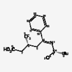 CC(C)(C)[S@+]([O-])N=C(C[C@H](CC(=O)O)C(F)(F)F)c1ccccc1